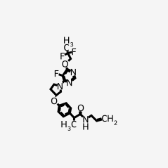 C=CCNC(=O)C(C)c1ccc(O[C@@H]2CCN(c3ncnc(OCC(C)(F)F)c3F)C2)cc1